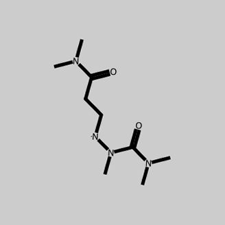 CN(C)C(=O)CC[N]N(C)C(=O)N(C)C